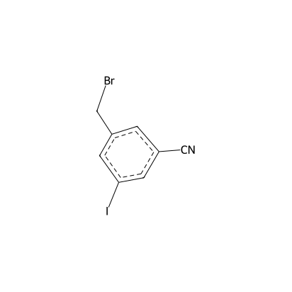 N#Cc1cc(I)cc(CBr)c1